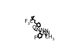 Cc1nnc2nc(N3CCOc4c(CCC5(C(F)(F)F)CC5)cccc43)c3cc(F)ccc3n12